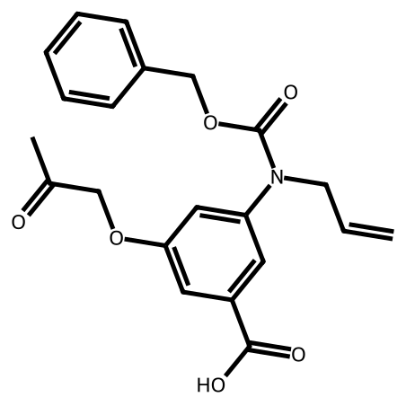 C=CCN(C(=O)OCc1ccccc1)c1cc(OCC(C)=O)cc(C(=O)O)c1